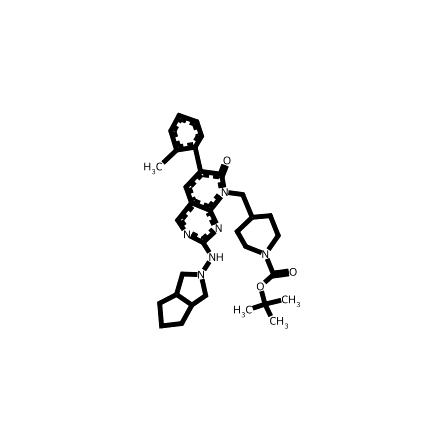 Cc1ccccc1-c1cc2cnc(NN3CC4CCCC4C3)nc2n(CC2CCN(C(=O)OC(C)(C)C)CC2)c1=O